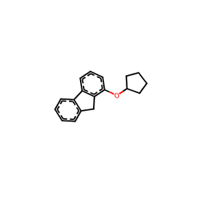 c1ccc2c(c1)Cc1c(OC3CCCC3)cccc1-2